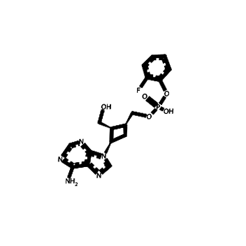 Nc1ncnc2c1ncn2[C@@H]1C[C@H](COP(=O)(O)Oc2ccccc2F)[C@@H]1CO